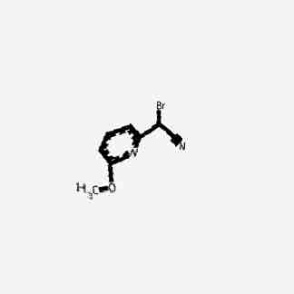 COc1cccc(C(Br)C#N)n1